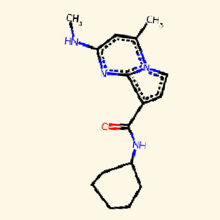 CNc1cc(C)n2ccc(C(=O)NC3CCCCC3)c2n1